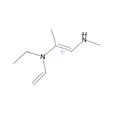 C=CN(CC)/C(C)=C/NC